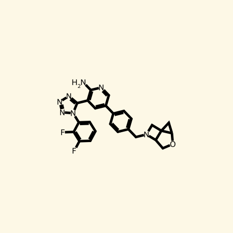 Nc1ncc(-c2ccc(CN3CC45CC4OCC35)cc2)cc1-c1nnnn1-c1cccc(F)c1F